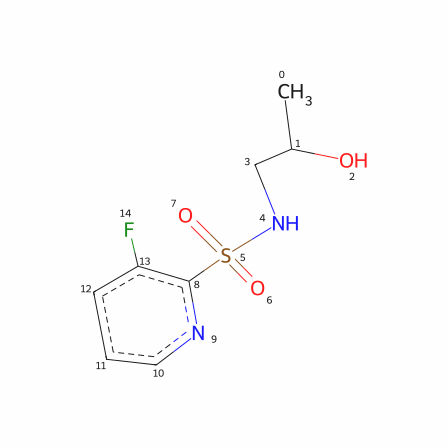 CC(O)CNS(=O)(=O)c1ncccc1F